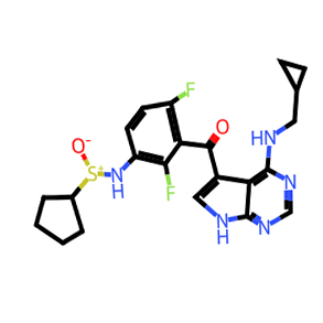 O=C(c1c(F)ccc(N[S+]([O-])C2CCCC2)c1F)c1c[nH]c2ncnc(NCC3CC3)c12